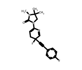 CN1C(=O)N(C2=CCC(F)(C#Cc3ccc(F)cc3)C=N2)CC1(C)C